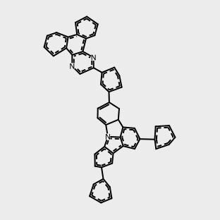 C1=C(c2cccc(-c3cnc4c5ccccc5c5ccccc5c4n3)c2)CC2C(=C1)n1c3ccc(-c4ccccc4)cc3c3cc(-c4ccccc4)cc2c31